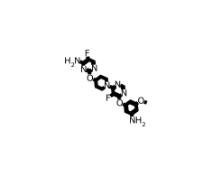 COc1cc(N)cc(Oc2ncnc(N3CCC(Oc4ncc(F)c(N)n4)CC3)c2F)c1